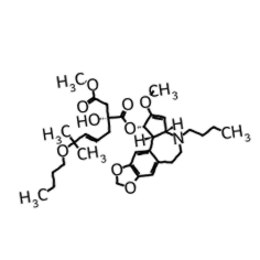 CCCCOC(C)(C)/C=C/C[C@@](O)(CC(=O)OC)C(=O)O[C@@H]1C(OC)=C[C@H]2[C@@H]1c1cc3c(cc1CCN2CCCC)OCO3